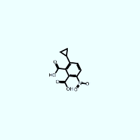 O=C(O)c1c(C2CC2)ccc([N+](=O)[O-])c1C(=O)O